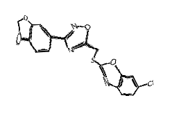 Clc1ccc2nc(SCc3nc(-c4ccc5c(c4)OCO5)no3)oc2c1